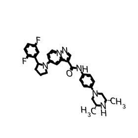 C[C@@H]1CN(c2ccc(NC(=O)c3cnn4ccc(N5CCCC5c5cc(F)ccc5F)cc34)cc2)C[C@H](C)N1